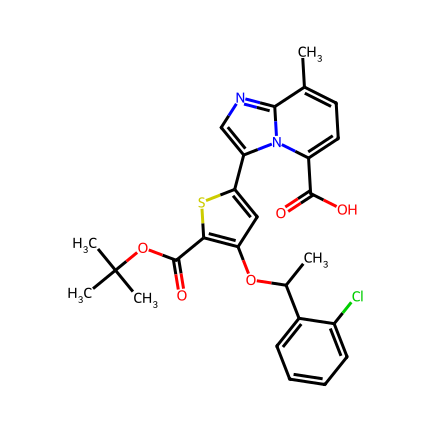 Cc1ccc(C(=O)O)n2c(-c3cc(OC(C)c4ccccc4Cl)c(C(=O)OC(C)(C)C)s3)cnc12